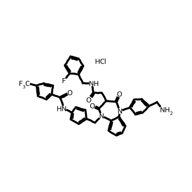 Cl.NCc1ccc(N2C(=O)C(CC(=O)NCc3ccccc3F)C(=O)N(Cc3ccc(NC(=O)c4ccc(C(F)(F)F)cc4)cc3)c3ccccc32)cc1